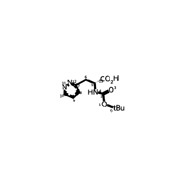 CC(C)(C)OC(=O)N[C@H](Cc1cccnn1)C(=O)O